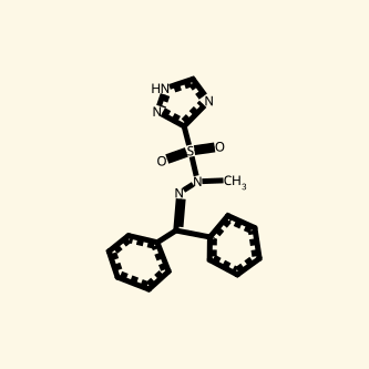 CN(N=C(c1ccccc1)c1ccccc1)S(=O)(=O)c1nc[nH]n1